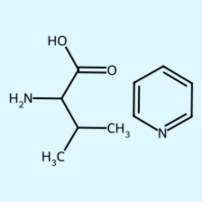 CC(C)C(N)C(=O)O.c1ccncc1